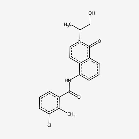 Cc1c(Cl)cccc1C(=O)Nc1cccc2c(=O)n(C(C)CO)ccc12